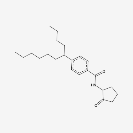 CCCCCCC(CCCC)c1ccc(C(=O)NC2CCCC2=O)cc1